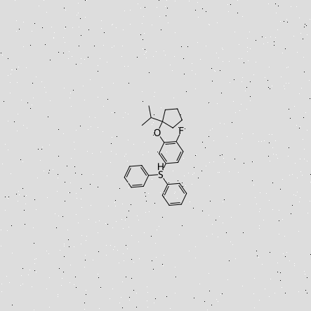 CC(C)C1(Oc2cc([SH](c3ccccc3)c3ccccc3)ccc2F)CCCC1